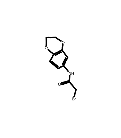 O=C(CBr)Nc1ccc2c(c1)OCCO2